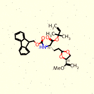 C=CC(C)(C)OC(=O)[C@H](CCC1OC[C@@H](C(=C)OC)O1)NC(=O)OCC1c2ccccc2-c2ccccc21